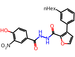 CCCCCCc1cccc(-c2ccoc2C(=O)NNC(=O)c2ccc(O)c([N+](=O)[O-])c2)c1